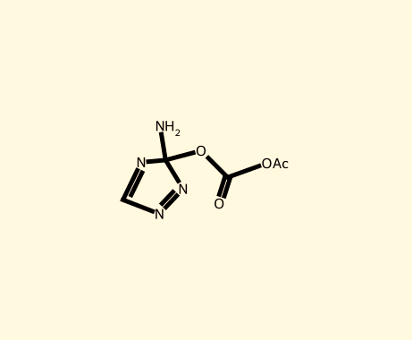 CC(=O)OC(=O)OC1(N)N=CN=N1